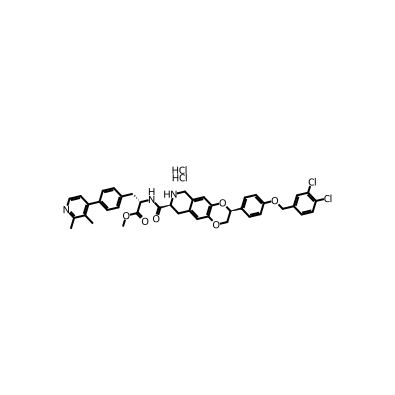 COC(=O)[C@H](Cc1ccc(-c2ccnc(C)c2C)cc1)NC(=O)[C@@H]1Cc2cc3c(cc2CN1)O[C@@H](c1ccc(OCc2ccc(Cl)c(Cl)c2)cc1)CO3.Cl.Cl